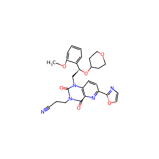 COc1ccccc1[C@H](Cn1c(=O)n(CCC#N)c(=O)c2nc(-c3ncco3)ccc21)OC1CCOCC1